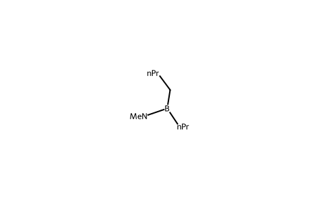 CCCCB(CCC)NC